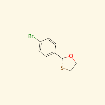 Brc1ccc(C2OCCS2)cc1